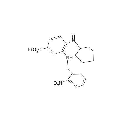 CCOC(=O)c1ccc(NC2CCCCC2)c(NCc2ccccc2[N+](=O)[O-])c1